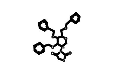 O=C1CSC(=O)N1[C@@H]1COC(COCc2ccccc2)C(OCc2ccccc2)C1OCc1ccccc1